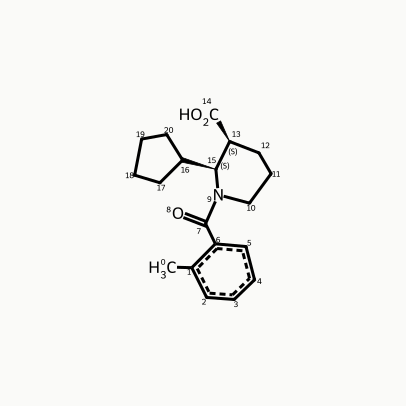 Cc1ccccc1C(=O)N1CCC[C@H](C(=O)O)[C@@H]1C1CCCC1